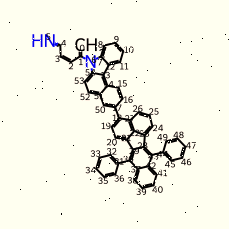 C=C(/C=C\C=N)n1c2ccccc2c2c3ccc(-c4ccc5c6c(cccc46)-c4c-5c(-c5ccccc5)c5ccccc5c4-c4ccccc4)cc3ccc21